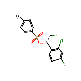 Cc1ccc(S(=O)(=O)O[C@H](CBr)c2ccc(Cl)cc2Cl)cc1